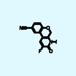 N#Cc1ccc2c(c1)-c1cc(F)c(=O)n(I)c1CO2